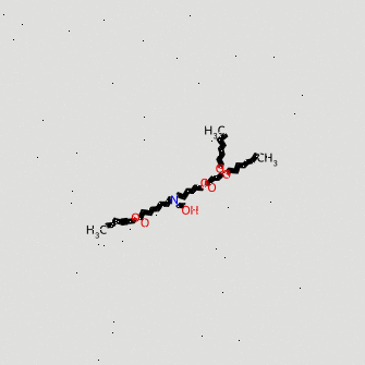 CCCCC#CCOC(=O)CCCCCCCN(CCO)CCCCCCOC(=O)CCC(OCCCCCCCC)OCCCCCCCC